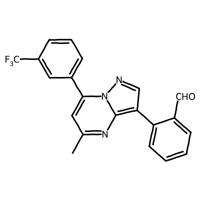 Cc1cc(-c2cccc(C(F)(F)F)c2)n2ncc(-c3ccccc3C=O)c2n1